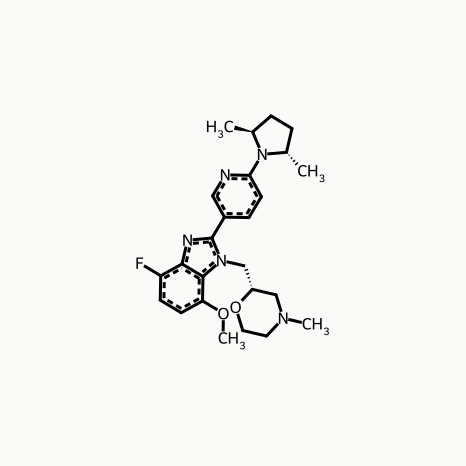 COc1ccc(F)c2nc(-c3ccc(N4[C@@H](C)CC[C@@H]4C)nc3)n(C[C@@H]3CN(C)CCO3)c12